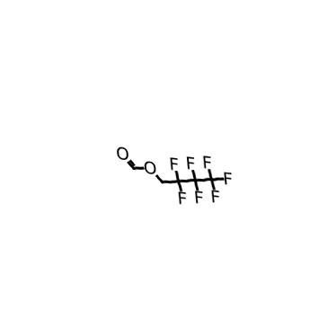 O=COCC(F)(F)C(F)(F)C(F)(F)F